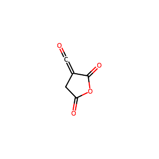 O=C=C1CC(=O)OC1=O